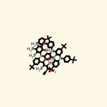 BC/C(=C(B)\C(B)=C(\B)C#C)c1cc(C(C)(C)C)ccc1N(c1ccc2c(c1)N(c1ccc3c(c1)-c1ccccc1C3(C)C)c1cc(C(C)(C)C)cc3c1B2c1cc(C(C)(C)C)ccc1N3c1ccc(C(C)(C)C)cc1)c1c(B)c(B)c(B)c(B)c1B